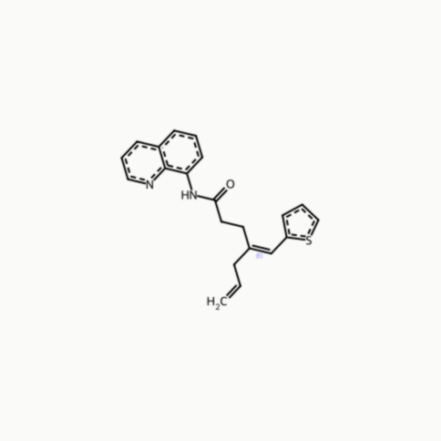 C=CC/C(=C/c1cccs1)CCC(=O)Nc1cccc2cccnc12